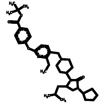 CCc1nc(Oc2ccc(C(=O)OC(C)(C)C)cc2)ccc1CN1CCC(N2C(=O)N(C3CCCC3)CC2CC(C)C)CC1